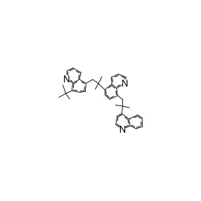 CC(C)(C)c1ccc(CC(C)(C)c2ccc(CC(C)(C)c3ccnc4ccccc34)c3ncccc23)c2cccnc12